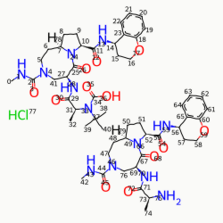 CNC(=O)N1CC[C@H]2CC[C@@H](C(=O)N[C@@H]3CCOc4ccccc43)N2C(=O)[C@@H](NC(=O)[C@H](C)N(C(=O)O)C(C)(C)C)C1.CNC(=O)N1CC[C@H]2CC[C@@H](C(=O)N[C@@H]3CCOc4ccccc43)N2C(=O)[C@@H](NC(=O)[C@H](C)N)C1.Cl